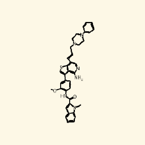 COc1cc(-c2csc3c(/C=C/CN4CCN(c5ccccc5)CC4)cnc(N)c23)ccc1NC(=O)c1cc2ccccc2n1C